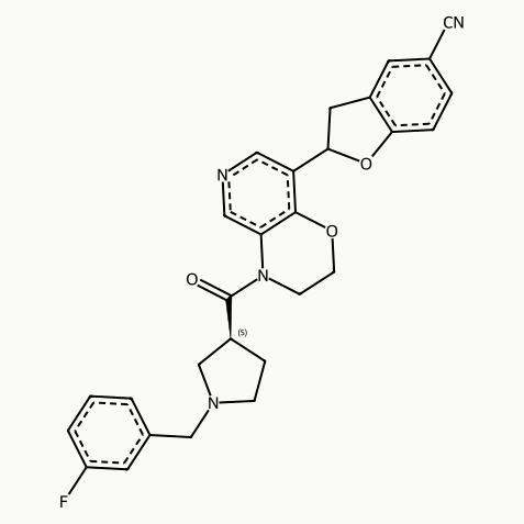 N#Cc1ccc2c(c1)CC(c1cncc3c1OCCN3C(=O)[C@H]1CCN(Cc3cccc(F)c3)C1)O2